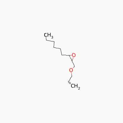 C=CCOCC1OC1CCCCCC